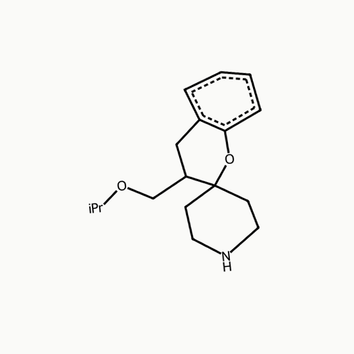 CC(C)OCC1Cc2ccccc2OC12CCNCC2